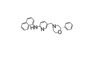 c1ccc([C@H]2CN(Cc3ccc(Nc4cccc5ccccc45)nc3)CCO2)cc1